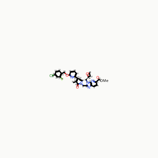 COC(=O)c1ccc2nc(Cn3ccc(-c4cccc(OCc5ccc(Cl)cc5F)n4)c(C)c3=O)n(C[C@@H]3CCO3)c2n1